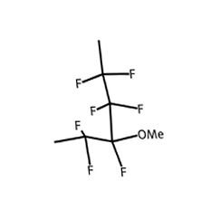 COC(F)(C(C)(F)F)C(F)(F)C(C)(F)F